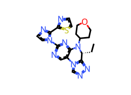 CC[C@@H]1c2nncn2-c2cnc(-n3ccnc3-c3nccs3)nc2N1C1CCOCC1